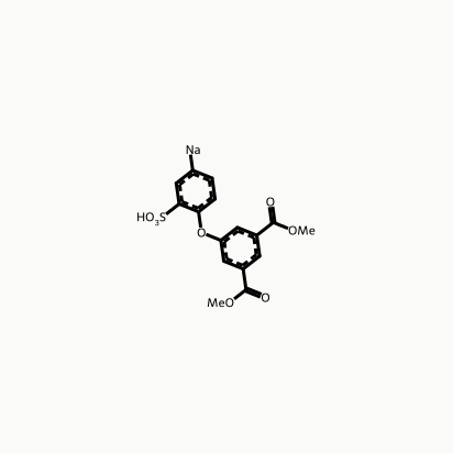 COC(=O)c1cc(Oc2cc[c]([Na])cc2S(=O)(=O)O)cc(C(=O)OC)c1